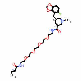 C/C=C/C(=O)NCCOCCOCCOCCOCCNC(=O)[C@H]1C[C@@H](Cc2c(F)ccc3c2OCO3)CN(C)C1